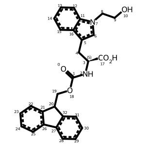 O=C(N[C@@H](Cc1cn(CCO)c2ccccc12)C(=O)O)OCC1c2ccccc2-c2ccccc21